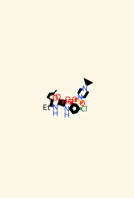 CC[C@@H](Nc1c(Nc2ccc(Cl)c(S(=O)(=O)N3CCN(C4CC4)CC3)c2O)c(=O)c1=O)[C@H]1CC[C@@H](C)O1